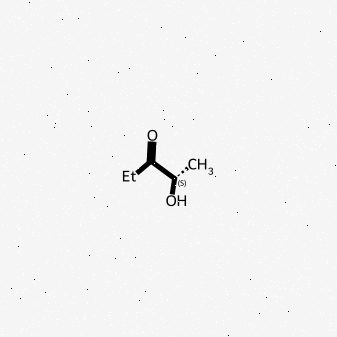 CCC(=O)[C@H](C)O